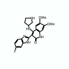 COc1cc2[nH]c(=O)c(-c3nc4ccc(F)cc4[nH]3)c(NC3CCNC3)c2cc1OC